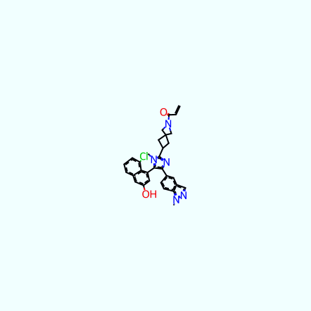 C=CC(=O)N1CC2(CC(c3nc(-c4ccc5c(cnn5C)c4)c(-c4cc(O)cc5cccc(Cl)c45)n3C)C2)C1